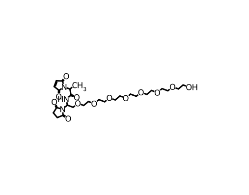 CC(C(=O)NC(COCCOCCOCCOCCOCCOCCOCCO)N1C(=O)CCC1=O)N1C(=O)C=CC1=O